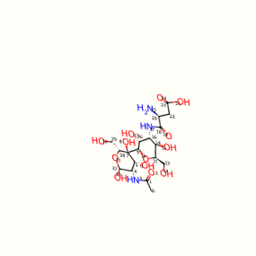 CC(=O)N[C@H]1[C@@H](O)[C@@](O)([C@@H]2O[C@H](CO)[C@H](O)[C@@H](NC(=O)[C@@H](N)CC(=O)O)[C@H]2O)[C@@H](CO)O[C@@H]1O